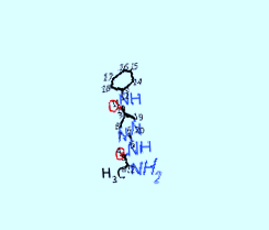 CC(N)C(=O)Nc1ncc(C(=O)NC2CCCCC2)cn1